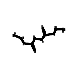 CCOCC(=O)OOC(=O)COCC